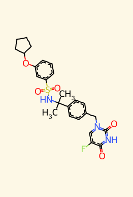 CC(C)(NS(=O)(=O)c1cccc(OC2CCCC2)c1)c1ccc(Cn2cc(F)c(=O)[nH]c2=O)cc1